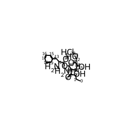 CCCC(=O)[C@]1(N)C(OC(=O)C(N)Cc2ccccc2)O[C@H](CO)[C@@H](O)[C@@H]1O.Cl